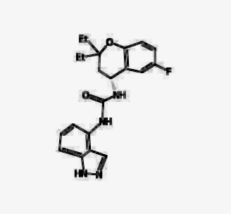 CCC1(CC)C[C@@H](NC(=O)Nc2cccc3[nH]ncc23)c2cc(F)ccc2O1